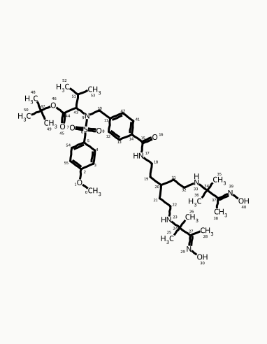 COc1ccc(S(=O)(=O)N(Cc2ccc(C(=O)NCCC(CCNC(C)(C)C(C)=NO)CCNC(C)(C)C(C)=NO)cc2)C(C(=O)OC(C)(C)C)C(C)C)cc1